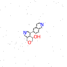 OC1COCc2cncc(-c3ccc4cnccc4c3)c21